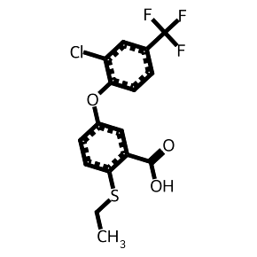 CCSc1ccc(Oc2ccc(C(F)(F)F)cc2Cl)cc1C(=O)O